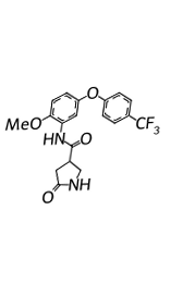 COc1ccc(Oc2ccc(C(F)(F)F)cc2)cc1NC(=O)C1CNC(=O)C1